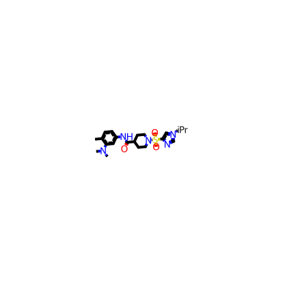 Cc1ccc(NC(=O)C2CCN(S(=O)(=O)c3cn(C(C)C)cn3)CC2)cc1N(C)C